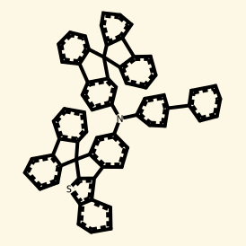 c1ccc(-c2ccc(N(c3ccc4c(c3)C3(c5ccccc5-c5ccccc53)c3ccccc3-4)c3ccc4c(c3)C3(c5ccccc5-c5ccccc53)c3sc5ccccc5c3-4)cc2)cc1